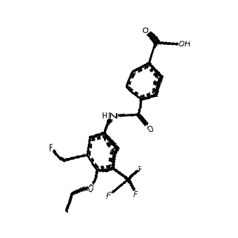 CCOc1c(CF)cc(NC(=O)c2ccc(C(=O)O)cc2)cc1C(F)(F)F